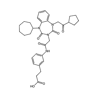 O=C(O)CCc1cccc(NC(=O)CN2C(=O)N(CC(=O)C3CCCC3)c3ccccc3N(C3CCCCCC3)C2=O)c1